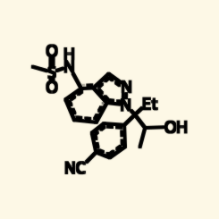 CCC(c1ccc(C#N)cc1)(C(C)O)n1ncc2c(NS(C)(=O)=O)cccc21